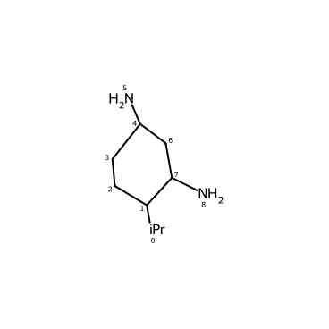 CC(C)C1CCC(N)CC1N